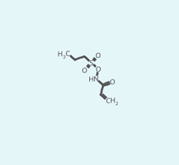 C=CC(=O)NOS(=O)(=O)CCC